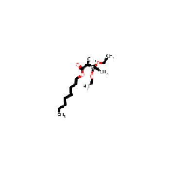 CCCCCCCCOC(=O)C(C)[Si](C)(OCC)OCC